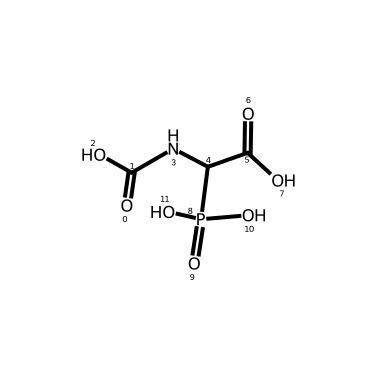 O=C(O)NC(C(=O)O)P(=O)(O)O